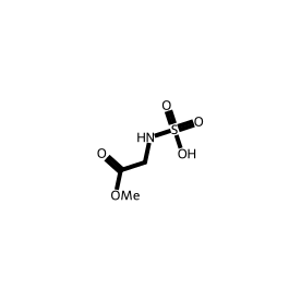 COC(=O)CNS(=O)(=O)O